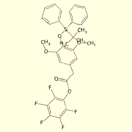 COc1cc(CC(=O)Oc2c(F)c(F)c(F)c(F)c2F)cc(OC)c1O[Si](c1ccccc1)(c1ccccc1)C(C)(C)C